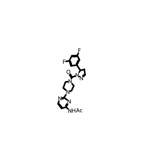 CC(=O)Nc1ccnc(N2CCN(C(=O)N3N=CCC3c3cc(F)cc(F)c3)CC2)n1